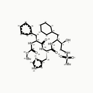 CCCCS(=O)(=O)NC[C@H](O)[C@H](CC1CCCCC1)NC(=O)[C@H](Cc1c[nH]cn1)NC(=O)[C@H](Cc1ccccc1)NC(=O)OC(C)(C)C